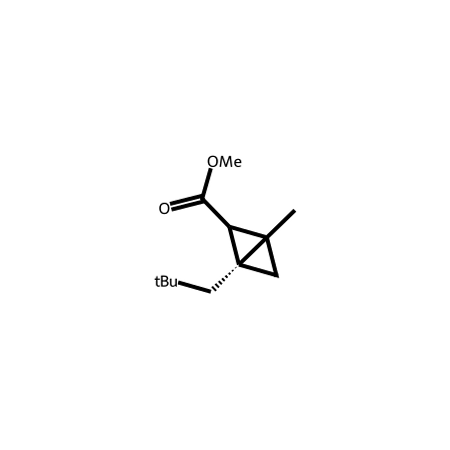 COC(=O)C1C2(C)C[C@@]12CC(C)(C)C